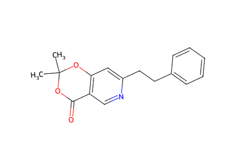 CC1(C)OC(=O)c2cnc(CCc3ccccc3)cc2O1